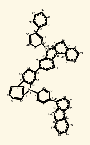 C1=C=C(N2C3=CC(C=CC=C3)c3ccc(-c4ccc5c6c7ccccc7ccc6n(C6C=C(c7ccccc7)C=CC6)c5c4)cc32)C=CC=1c1cccc2c1oc1ccccc12